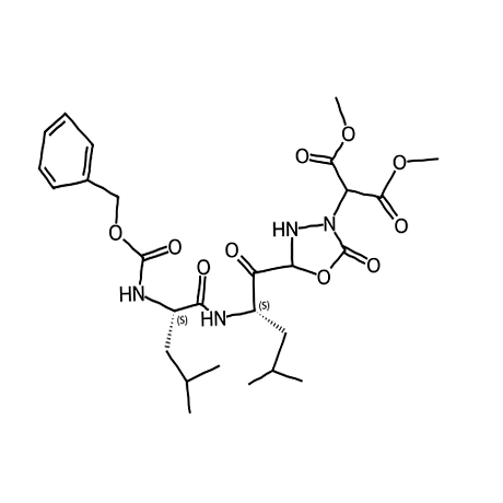 COC(=O)C(C(=O)OC)N1NC(C(=O)[C@H](CC(C)C)NC(=O)[C@H](CC(C)C)NC(=O)OCc2ccccc2)OC1=O